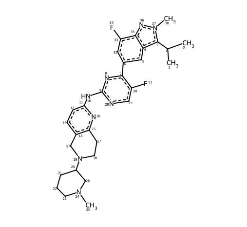 CC(C)c1c2cc(-c3nc(Nc4ccc5c(n4)CCN(C4CCCN(C)C4)C5)ncc3F)cc(F)c2nn1C